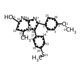 COc1ccc(-c2nc3nc(O)cc(C)n3c2-c2ccc(SC)cc2)cc1